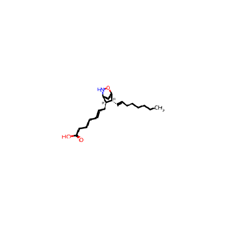 CCCCCCC=C[C@H]1C2CC(NO2)[C@@H]1CC=CCCCC(=O)O